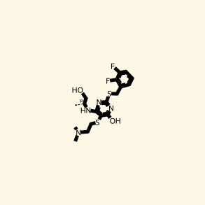 C[C@H](CO)Nc1nc(SCc2cccc(F)c2F)nc(O)c1SCCN(C)C